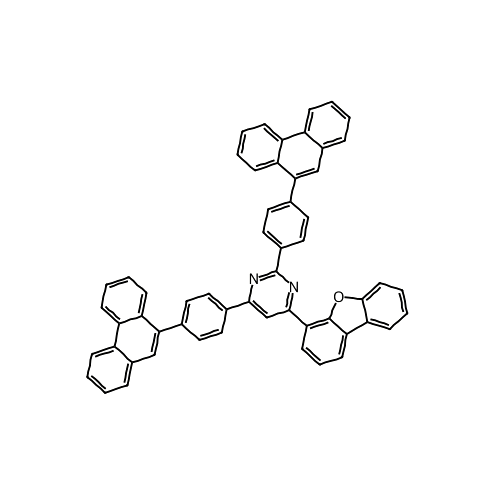 c1ccc2c(c1)cc(-c1ccc(-c3cc(-c4cccc5c4oc4ccccc45)nc(-c4ccc(-c5cc6ccccc6c6ccccc56)cc4)n3)cc1)c1ccccc12